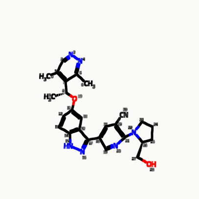 Cc1cnnc(C)c1[C@@H](C)Oc1ccc2[nH]nc(-c3cnc(N4CCC[C@H]4CO)c(C#N)c3)c2c1